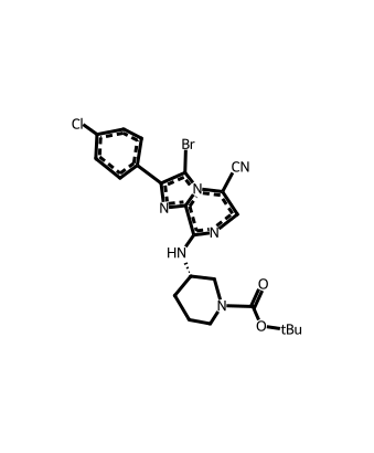 CC(C)(C)OC(=O)N1CCC[C@H](Nc2ncc(C#N)n3c(Br)c(-c4ccc(Cl)cc4)nc23)C1